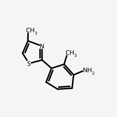 Cc1csc(-c2cccc(N)c2C)n1